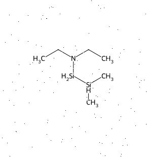 CCN(CC)[SiH2][SiH](C)C